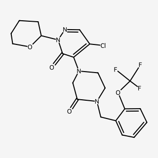 O=C1CN(c2c(Cl)cnn(C3CCCCO3)c2=O)CCN1Cc1ccccc1OC(F)(F)F